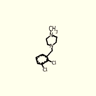 CN1CCN(Cc2cccc(Cl)c2Cl)CC1